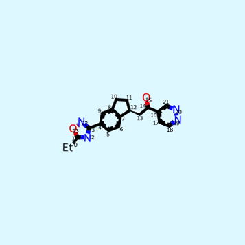 CCc1nc(-c2ccc3c(c2)CC[C@H]3CC(=O)c2ccnnc2)no1